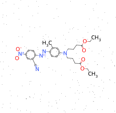 CCOC(=O)CCCN(CCCC(=O)OCC)c1ccc(/N=N/c2ccc([N+](=O)[O-])cc2C#N)c(C)c1